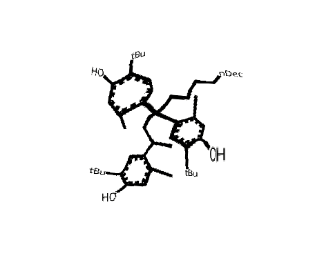 CCCCCCCCCCCCCCC(CC(C)c1cc(C(C)(C)C)c(O)cc1C)(c1cc(C(C)(C)C)c(O)cc1C)c1cc(C(C)(C)C)c(O)cc1C